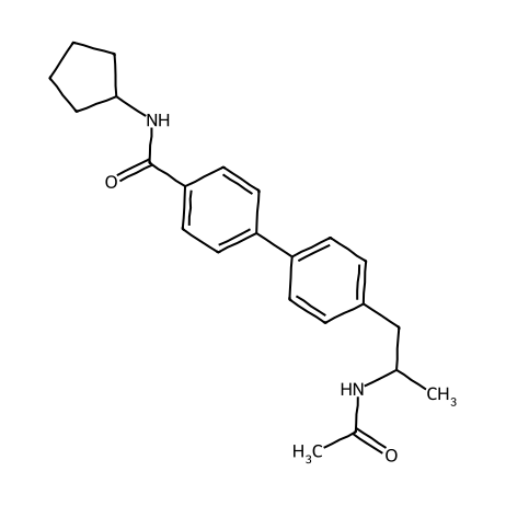 CC(=O)NC(C)Cc1ccc(-c2ccc(C(=O)NC3CCCC3)cc2)cc1